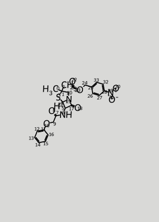 CC1(C)S[C@@H]2C(NC(=O)COc3ccccc3)C(=O)N2[C@H]1C(=O)OCc1ccc([N+](=O)[O-])cc1